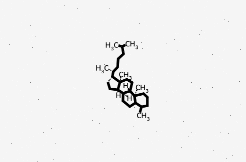 CC(C)CCC[C@@H](C)[C@H]1CC[C@H]2[C@@H]3CCC4C(C)CCC[C@]4(C)[C@H]3CC[C@]12C